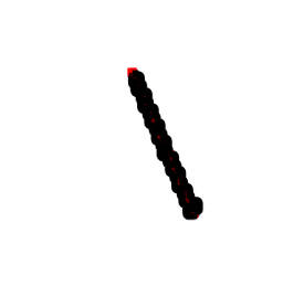 CCCOCCOCCOCCOCCOCCOCCOCCOCCOCCOCCOCCOCCOCCOCCOCCOCCC(=O)OC(C)(C)C